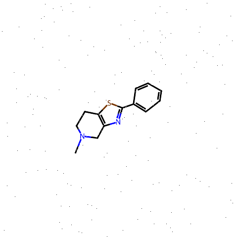 CN1CCc2sc(-c3ccccc3)nc2C1